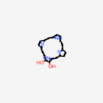 Oc1c(O)c2cc3nc(cc4ccc(cc5nc(cc1[nH]2)C=C5)[nH]4)C=C3